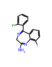 NC1=Nc2c(I)cccc2C(c2ccccc2F)=NC1